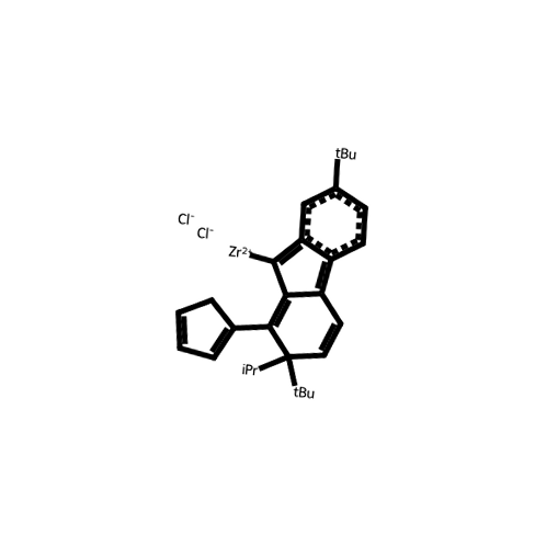 CC(C)C1(C(C)(C)C)C=CC2=c3ccc(C(C)(C)C)cc3=[C]([Zr+2])C2=C1C1=CC=CC1.[Cl-].[Cl-]